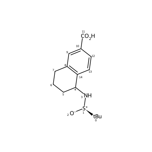 CC(C)(C)[S@@+]([O-])NC1CCCc2cc(C(=O)O)ccc21